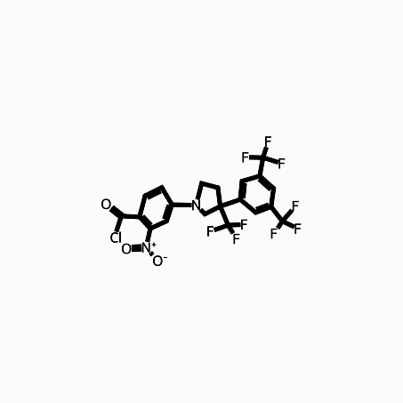 O=C(Cl)c1ccc(N2CCC(c3cc(C(F)(F)F)cc(C(F)(F)F)c3)(C(F)(F)F)C2)cc1[N+](=O)[O-]